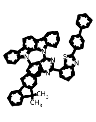 CC1(C)c2ccccc2-c2ccc(-c3nc(-c4cccc5nc(-c6ccc(-c7ccccc7)cc6)sc45)nc(-n4c5ccccc5c5ccc6c7ccccc7n(-c7ccccc7)c6c54)n3)cc21